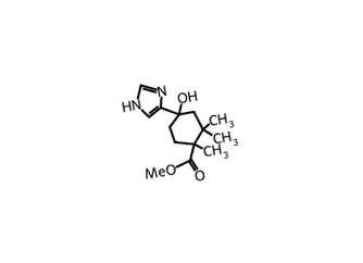 COC(=O)C1(C)CCC(O)(c2c[nH]cn2)CC1(C)C